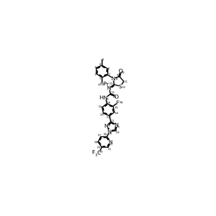 CCCc1ccc(C)cc1N1C(=O)CSC1=NC(=O)Nc1ccc(-c2ncn(-c3ccc(C(F)(F)F)cn3)n2)cc1F